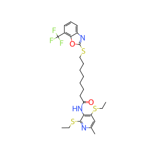 CCSc1cc(C)nc(SCC)c1NC(=O)CCCCCCCSc1nc2cccc(C(F)(F)F)c2o1